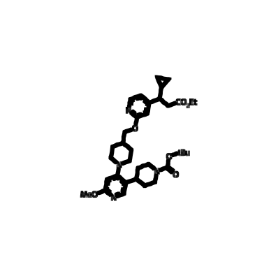 CCOC(=O)CC(c1ccnc(OCC2CCN(c3cc(OC)ncc3C3CCN(C(=O)OC(C)(C)C)CC3)CC2)c1)C1CC1